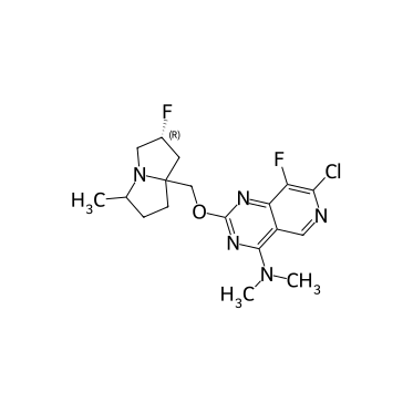 CC1CCC2(COc3nc(N(C)C)c4cnc(Cl)c(F)c4n3)C[C@@H](F)CN12